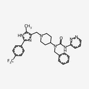 Cc1[nH]c(-c2ccc(C(F)(F)F)cc2)nc1CN1CCC(N(Cc2ccccc2)C(=O)Nc2cccnn2)CC1